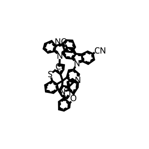 N#Cc1ccc2c(c1)c1cc(C#N)ccc1n2-c1cnc2c(c1)C1(c3ccc(-n4c5ccccc5c5ccccc54)cc3Sc3cccc(N4c5ccccc5Oc5ccccc54)c31)c1cccnc1-2